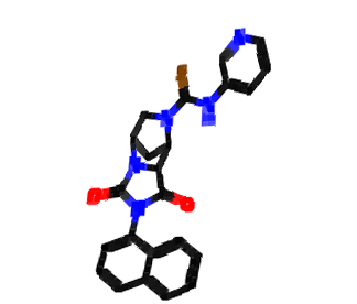 O=C1C2C3CC(CN3C(=S)Nc3cccnc3)N2C(=O)N1c1cccc2ccccc12